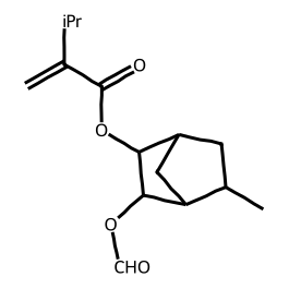 C=C(C(=O)OC1C2CC(C)C(C2)C1OC=O)C(C)C